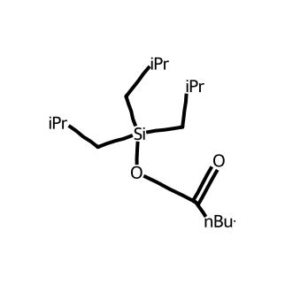 CCC[CH]C(=O)O[Si](CC(C)C)(CC(C)C)CC(C)C